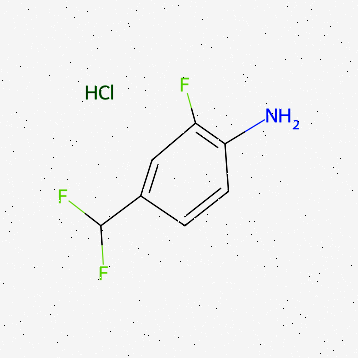 Cl.Nc1ccc(C(F)F)cc1F